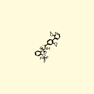 COc1cc([C@@H](C)NS(=O)(=O)c2ccccc2OC(F)(F)F)ccc1-c1cccnc1OC